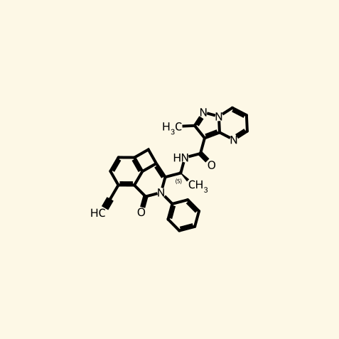 C#Cc1ccc2c3c(c([C@H](C)NC(=O)c4c(C)nn5cccnc45)n(-c4ccccc4)c(=O)c13)C2